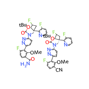 COc1c(C#N)ccc(F)c1-c1ccc(N(C[C@]2(c3ncccc3F)C[C@@H](F)C2)C(=O)OC(C)(C)C)nn1.COc1c(C(N)=O)ccc(F)c1-c1ccc(N(C[C@]2(c3ncccc3F)C[C@@H](F)C2)C(=O)OC(C)(C)C)nn1